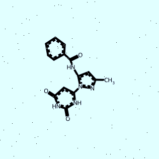 Cc1cc(NC(=O)c2ccccc2)n(-c2cc(=O)[nH]c(=O)[nH]2)n1